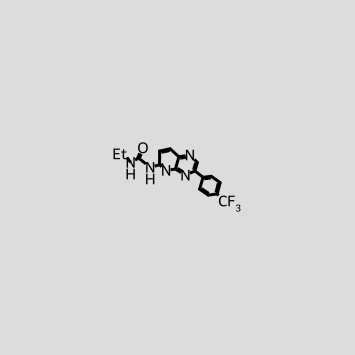 CCNC(=O)Nc1ccc2ncc(-c3ccc(C(F)(F)F)cc3)nc2n1